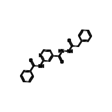 O=C(Cc1ccccc1)NNC(=O)c1ccnc(NC(=O)c2ccccc2)c1